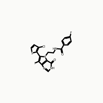 O=C(NCCn1c(-c2sccc2Cl)c(I)c2nc[nH]c(=O)c21)c1ccc(F)cc1